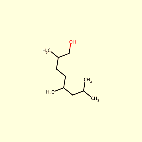 CC(C)CC(C)CCC(C)CO